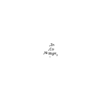 [Co].[MgH2].[Ni].[Zn]